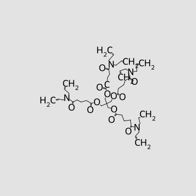 C=CCN(CC=C)C(=O)CCCC(=O)OCC(COC(=O)CCCC(=O)N(CC=C)CC=C)(COC(=O)CCCC(=O)N(CC=C)CC=C)COC(=O)CCCC(=O)N(CC=C)CC=C